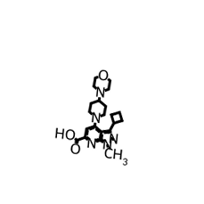 Cn1nc(C2CCC2)c2c(N3CCC(N4CCOCC4)CC3)cc(C(=O)O)nc21